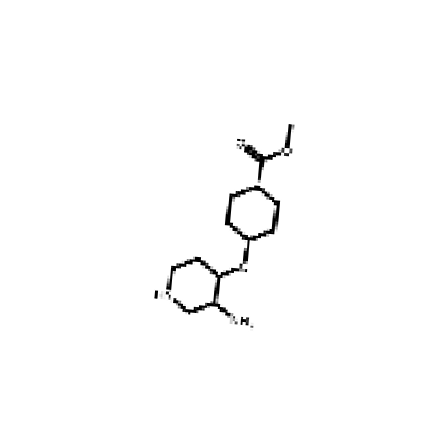 COC(=O)[C@H]1CC[C@@H](OC2CCNCC2N)CC1